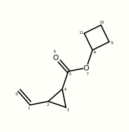 C=CC1CC1C(=O)OC1CCC1